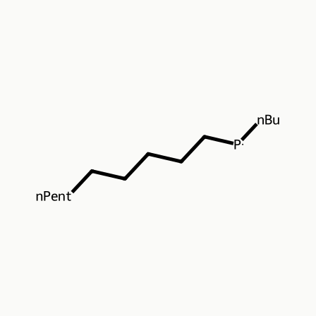 CCCCCCCCCC[P]CCCC